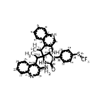 CC(c1c(N)cnc2ccccc12)C1(C(C)c2c(N)cnc3ccccc23)NC(=O)N(c2ccc(SC(F)(F)F)cc2)C1=O